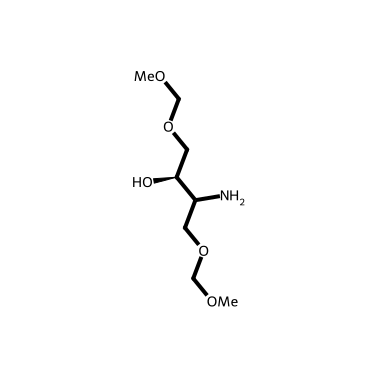 COCOCC(N)[C@@H](O)COCOC